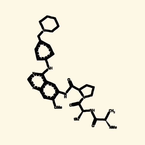 CN[C@@H](C)C(=O)N[C@H](C(=O)N1CCCC1C(=O)Nc1cc2c(Nc3ccc(CN4CCCCC4)cc3)ncnc2cc1OC)C(C)(C)C